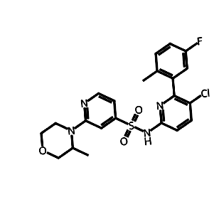 Cc1ccc(F)cc1-c1nc(NS(=O)(=O)c2ccnc(N3CCOCC3C)c2)ccc1Cl